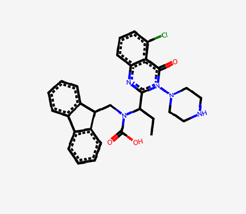 CCC(c1nc2cccc(Cl)c2c(=O)n1N1CCNCC1)N(CC1c2ccccc2-c2ccccc21)C(=O)O